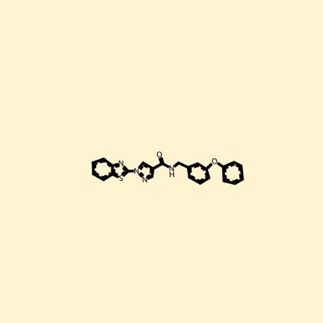 O=C(NCc1cccc(Oc2ccccc2)c1)c1cnn(-c2nc3ccccc3s2)c1